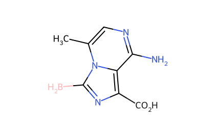 Bc1nc(C(=O)O)c2c(N)ncc(C)n12